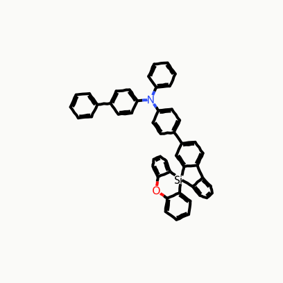 c1ccc(-c2ccc(N(c3ccccc3)c3ccc(-c4ccc5c(c4)[Si]4(c6ccccc6Oc6ccccc64)c4ccccc4-5)cc3)cc2)cc1